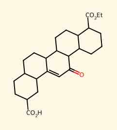 CCOC(=O)C1CCCC2C1CCC1C3CCC4CCC(C(=O)O)CC4C3=CC(=O)C12